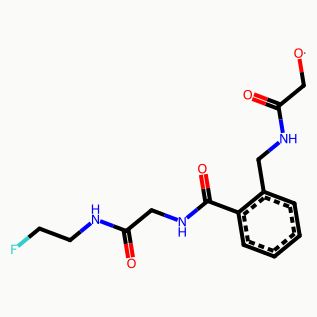 [O]CC(=O)NCc1ccccc1C(=O)NCC(=O)NCCF